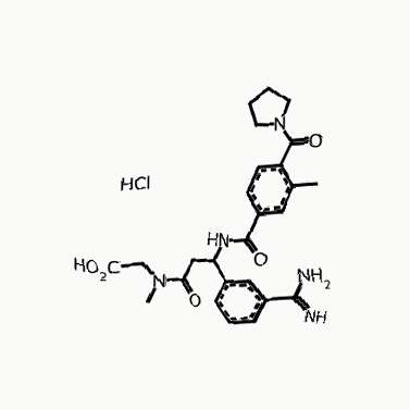 Cc1cc(C(=O)NC(CC(=O)N(C)CC(=O)O)c2cccc(C(=N)N)c2)ccc1C(=O)N1CCCC1.Cl